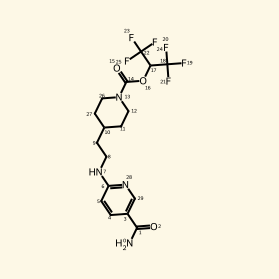 NC(=O)c1ccc(NCCC2CCN(C(=O)OC(C(F)(F)F)C(F)(F)F)CC2)nc1